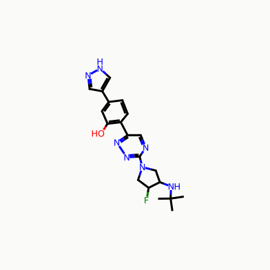 CC(C)(C)NC1CN(c2ncc(-c3ccc(-c4cn[nH]c4)cc3O)nn2)CC1F